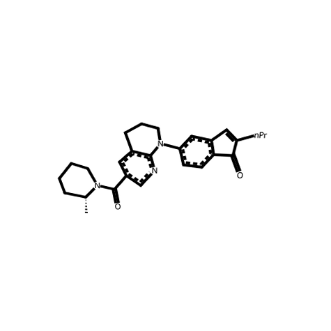 CCCC1=Cc2cc(N3CCCc4cc(C(=O)N5CCCC[C@H]5C)cnc43)ccc2C1=O